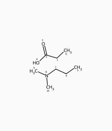 CCC(=O)O.CCCN(C)C